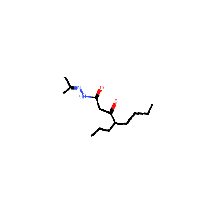 CCCCC(CCC)C(=O)CC(=O)NN=C(C)C